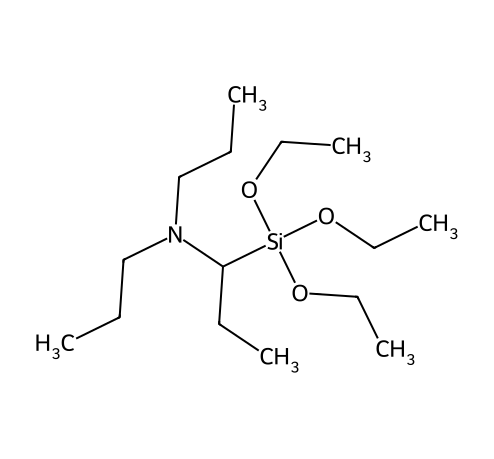 CCCN(CCC)C(CC)[Si](OCC)(OCC)OCC